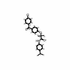 CC(C)c1ccc(NC(=O)C(C)(C)Oc2ccc(C(=O)c3ccc(Cl)cc3)cc2)cc1